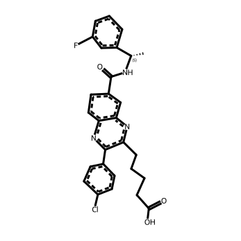 C[C@H](NC(=O)c1ccc2nc(-c3ccc(Cl)cc3)c(CCCCC(=O)O)nc2c1)c1cccc(F)c1